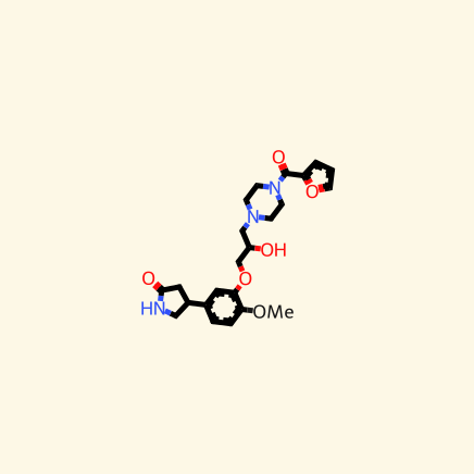 COc1ccc(C2CNC(=O)C2)cc1OCC(O)CN1CCN(C(=O)c2ccco2)CC1